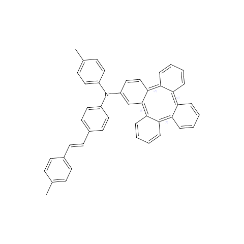 Cc1ccc(C=Cc2ccc(N(c3ccc(C)cc3)c3ccc4/c(c3)=c3/cccc/c3=c3\cccc\c3=c3/cccc/c3=4)cc2)cc1